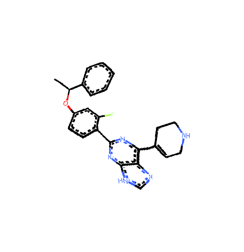 CC(Oc1ccc(-c2nc(C3=CCNCC3)c3nc[nH]c3n2)c(F)c1)c1ccccc1